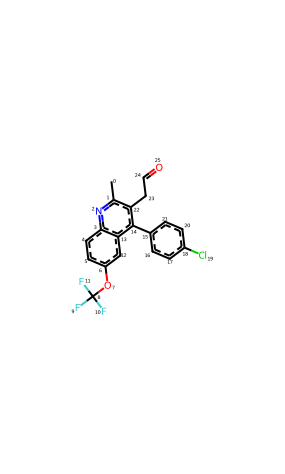 Cc1nc2ccc(OC(F)(F)F)cc2c(-c2ccc(Cl)cc2)c1CC=O